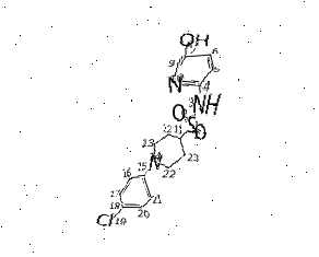 O=S(=O)(Nc1ccc(O)cn1)C1CCN(c2ccc(Cl)cc2)CC1